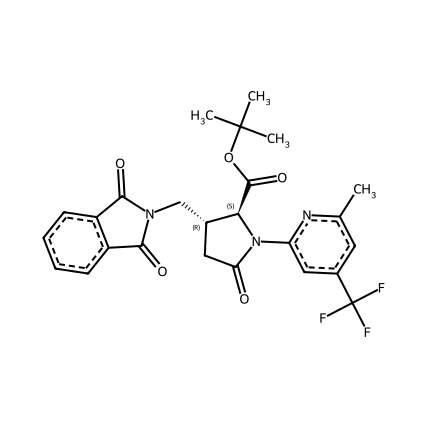 Cc1cc(C(F)(F)F)cc(N2C(=O)C[C@H](CN3C(=O)c4ccccc4C3=O)[C@H]2C(=O)OC(C)(C)C)n1